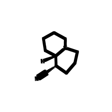 N#C[C@H]1CCCN2CCCC[C@@H]12